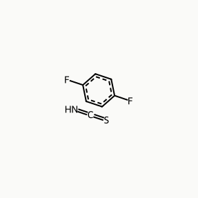 Fc1ccc(F)cc1.N=C=S